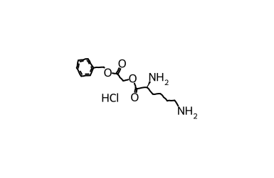 Cl.NCCCC[C@H](N)C(=O)OCC(=O)OCc1ccccc1